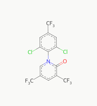 O=c1c(C(F)(F)F)cc(C(F)(F)F)cn1-c1c(Cl)cc(C(F)(F)F)cc1Cl